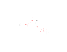 CC(C)C1OCC(COC(=O)c2cccc(C(=O)OCC3COC(C(C)C)O3)c2)O1